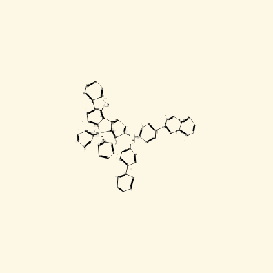 c1ccc(-c2ccc(N(c3ccc(-c4ccc5ccccc5c4)cc3)c3ccc4c(c3)[Si](c3ccccc3)(c3ccccc3)c3ccc5c(sc6ccccc65)c3-4)cc2)cc1